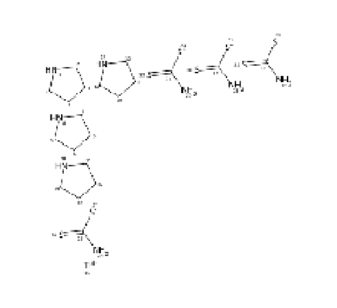 C1CCNC1.C1CCNC1.C1CCNC1.C1CCNC1.NC(=S)[S-].NC(=S)[S-].NC(=S)[S-].NC(=S)[S-].[Ti+4]